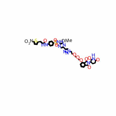 COc1nc(-c2cn(CCOCOCOc3cccc4c3C(=O)N(C3CCC(=O)NC3=O)C4=O)nn2)cnc1NS(=O)(=O)c1ccc(NC(=O)/C=C/c2ccc([N+](=O)[O-])s2)cc1